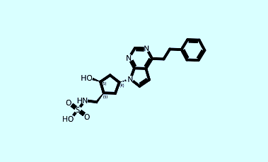 O=S(=O)(O)NC[C@@H]1C[C@@H](n2ccc3c(CCc4ccccc4)ncnc32)C[C@@H]1O